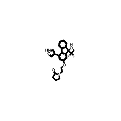 O=C1CCCN1CCOc1cc(-c2cn[nH]c2)c2c(c1)C(O)(C(F)(F)F)c1ccccc1-2